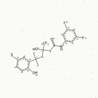 CC(C)(CC(O)(CC(=O)Nc1cc(F)cc(F)c1)C(F)(F)F)c1cc(F)ccc1O